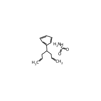 C=CCC(CC=C)c1ccccc1.N[SH](=O)=O